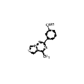 COc1cccc(-c2nc(C)c3cncn3n2)c1